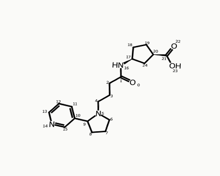 O=C(CCCN1CCCC1c1cccnc1)N[C@H]1CC[C@@H](C(=O)O)C1